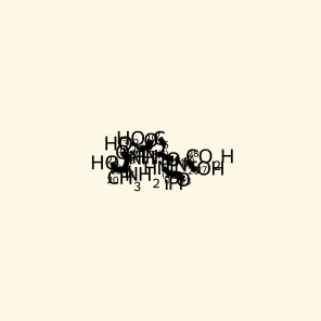 CC(C)[C@H](NC(=O)[C@H](CC(=O)O)NC(=O)[C@H](CO)NC(=O)[C@@H](N)[C@@H](C)O)C(=O)N[C@@H](CO)C(=O)O